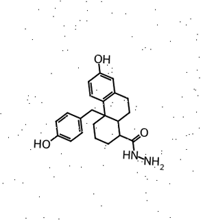 NNC(=O)C1CCCC2(Cc3ccc(O)cc3)c3ccc(O)cc3CCC12